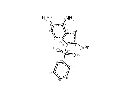 CCCc1cc2c(N)c(N)ccc2n1S(=O)(=O)c1ccccc1